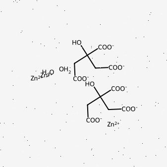 O.O.O=C([O-])CC(O)(CC(=O)[O-])C(=O)[O-].O=C([O-])CC(O)(CC(=O)[O-])C(=O)[O-].[Zn+2].[Zn+2].[Zn+2]